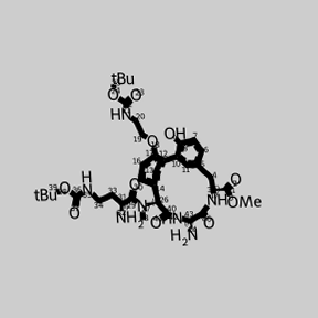 COC(=O)[C@@H]1Cc2ccc(O)c(c2)-c2cc(ccc2OCCNC(=O)OC(C)(C)C)[C@H](N(C)C(=O)[C@@H](N)CCNC(=O)OC(C)(C)C)C(=O)N[C@@H](N)C(=O)N1